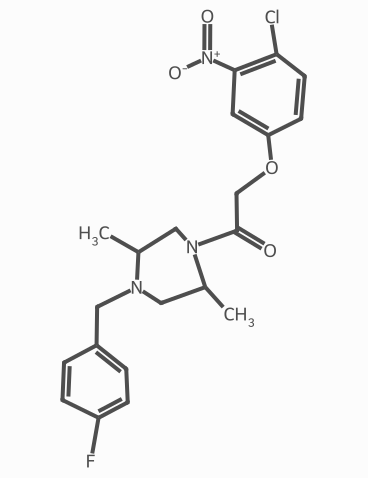 CC1CN(C(=O)COc2ccc(Cl)c([N+](=O)[O-])c2)C(C)CN1Cc1ccc(F)cc1